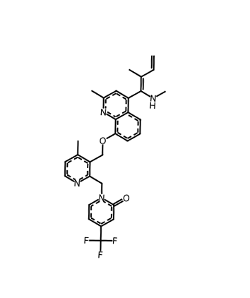 C=C/C(C)=C(\NC)c1cc(C)nc2c(OCc3c(C)ccnc3Cn3ccc(C(F)(F)F)cc3=O)cccc12